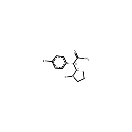 CCN1CCC[C@H]1[C@@H](C(N)=O)c1ccc(Cl)cc1